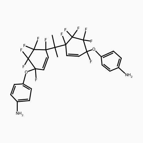 CC(C)(C1(F)C=CC(F)(Oc2ccc(N)cc2)C(F)(F)C1(F)F)C1(F)C=CC(F)(Oc2ccc(N)cc2)C(F)(F)C1(F)F